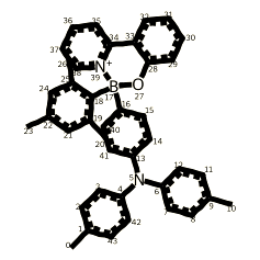 Cc1ccc(N(c2ccc(C)cc2)c2ccc([B-]3(c4c(C)cc(C)cc4C)Oc4ccccc4-c4cccc[n+]43)cc2)cc1